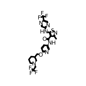 Cc1nsc(Nc2cnc(C(F)(F)F)cn2)c1C(=O)Nc1ccc(OCC2CCCN(CC(F)(F)F)C2)nc1